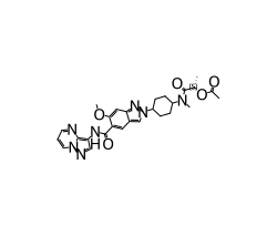 COc1cc2nn(C3CCC(N(C)C(=O)[C@H](C)OC(C)=O)CC3)cc2cc1C(=O)Nc1cnn2cccnc12